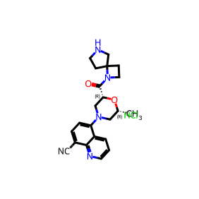 C[C@@H]1CN(c2ccc(C#N)c3ncccc23)C[C@H](C(=O)N2CCC23CCNC3)O1.Cl